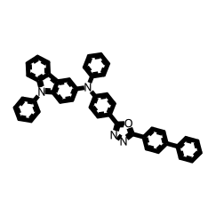 c1ccc(-c2ccc(-c3nnc(-c4ccc(N(c5ccccc5)c5ccc6c(c5)c5ccccc5n6-c5ccccc5)cc4)o3)cc2)cc1